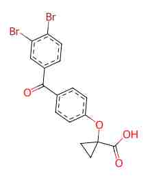 O=C(c1ccc(OC2(C(=O)O)CC2)cc1)c1ccc(Br)c(Br)c1